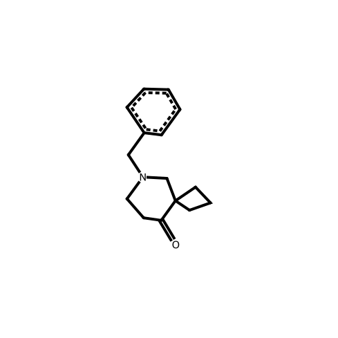 O=C1CCN(Cc2ccccc2)CC12CCC2